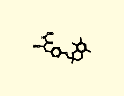 CSC(Cc1ccc(OCC2(C)CCc3c(C)cc(C)c(C)c3O2)cc1)C(=O)NC=O